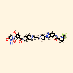 COc1ccc(C(=O)N2CCC3(CCN(CCCCN4CCC(n5cc6cc(NC(=O)c7cccc(C(F)(F)F)n7)ccc6n5)CC4)CC3)CC2)cc1N1CCC(=O)NC1=O